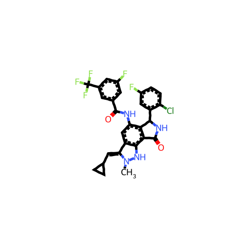 CN1Nc2c(cc(NC(=O)c3cc(F)cc(C(F)(F)F)c3)c3c2C(=O)NC3c2cc(F)ccc2Cl)C1=CC1CC1